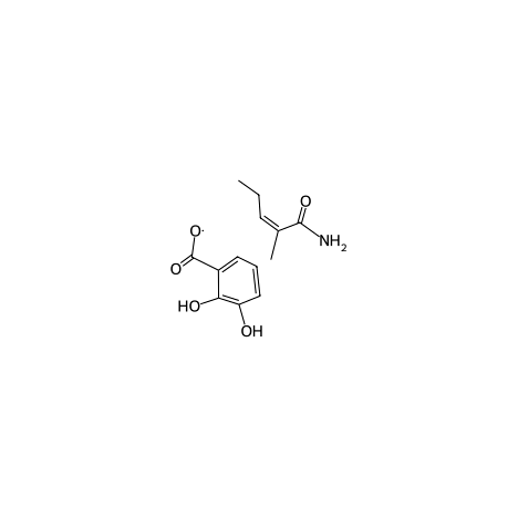 CCC=C(C)C(N)=O.[O]C(=O)c1cccc(O)c1O